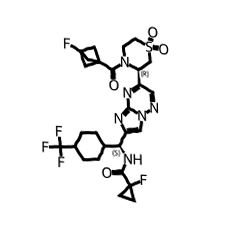 O=C(N[C@H](c1cn2ncc([C@@H]3CS(=O)(=O)CCN3C(=O)C34CC(F)(C3)C4)nc2n1)C1CCC(C(F)(F)F)CC1)C1(F)CC1